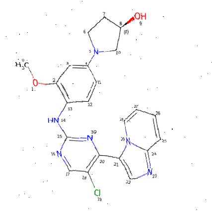 COc1cc(N2CC[C@@H](O)C2)ccc1Nc1ncc(Cl)c(-c2cnc3ccccn23)n1